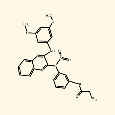 COc1cc(Nc2nc3ccccc3nc2N(c2cccc(NC(=O)CN)c2)[SH](=O)=O)cc(OC)c1